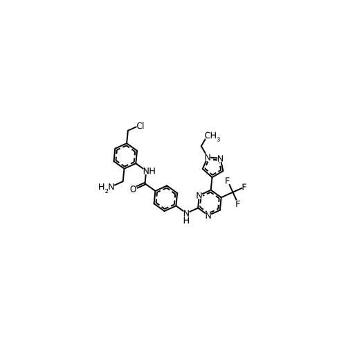 CCn1cc(-c2nc(Nc3ccc(C(=O)Nc4cc(CCl)ccc4CN)cc3)ncc2C(F)(F)F)cn1